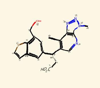 Cc1c([C@H](CC(=O)O)c2cc(CO)c3sccc3c2)cnc2c1nnn2C